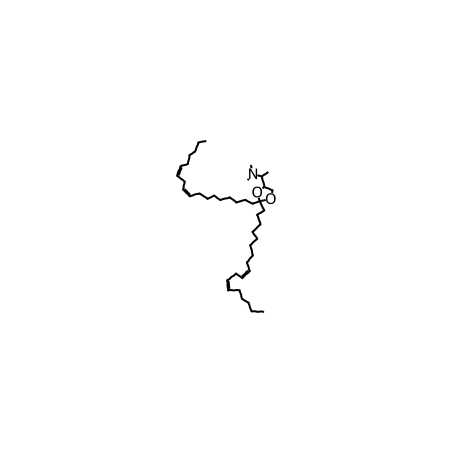 CCCCC/C=C\C/C=C\CCCCCCCCC1(CCCCCCCC/C=C\C/C=C\CCCCC)OCC(C(C)N(C)C)O1